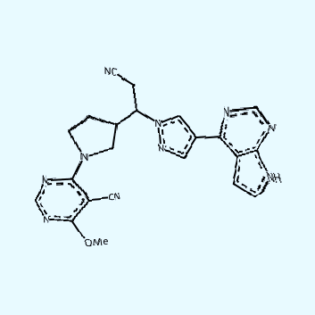 COc1ncnc(N2CCC(C(CC#N)n3cc(-c4ncnc5[nH]ccc45)cn3)C2)c1C#N